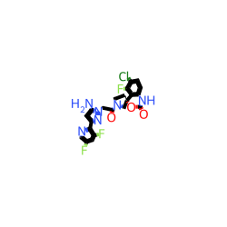 Nc1cc(-c2ncc(F)cc2F)nn1CC(=O)N1CC[C@@]2(C1)OC(=O)Nc1ccc(Cl)c(F)c12